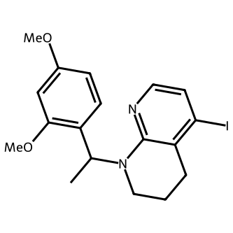 COc1ccc(C(C)N2CCCc3c(I)ccnc32)c(OC)c1